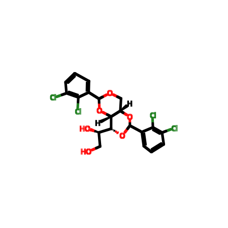 OC[C@@H](O)[C@H]1OC(c2cccc(Cl)c2Cl)O[C@H]2COC(c3cccc(Cl)c3Cl)O[C@@H]12